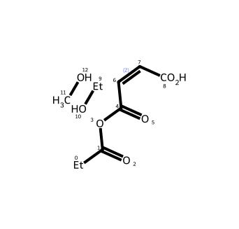 CCC(=O)OC(=O)/C=C\C(=O)O.CCO.CO